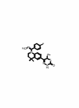 CC(C)C1SC(=O)NN=C1c1ccc2c(c1)C(C)(C)CCN2/C(=N\O)c1ccc(F)cc1